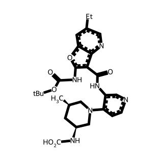 CCc1cnc2c(C(=O)Nc3cnccc3N3C[C@H](C)C[C@H](NC(=O)O)C3)c(NC(=O)OC(C)(C)C)oc2c1